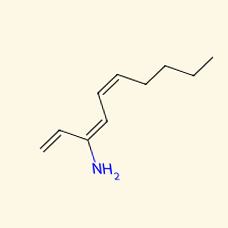 C=C/C(N)=C\C=C/CCCC